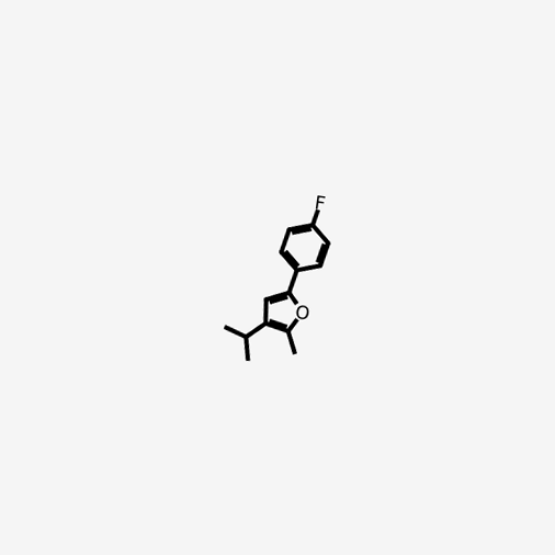 Cc1oc(-c2ccc(F)cc2)cc1C(C)C